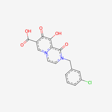 O=C(O)c1cn2ccn(Cc3cccc(Cl)c3)c(=O)c2c(O)c1=O